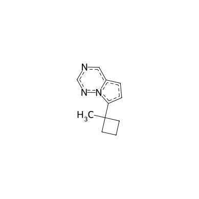 CC1(c2ccc3cncnn23)CCC1